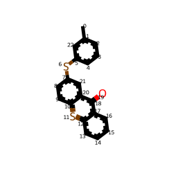 Cc1cccc(Sc2ccc3sc4ccccc4c(=O)c3c2)c1